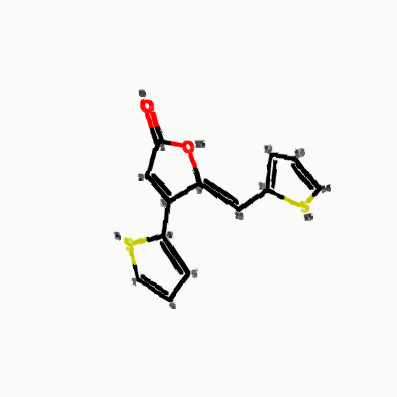 O=C1C=C(c2cccs2)C(=Cc2cccs2)O1